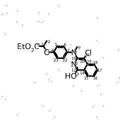 CCOC(=O)C(C)Oc1ccc(N(C)c2nc(O)c3ccccc3c2Cl)cc1